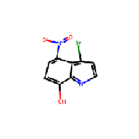 O=[N+]([O-])c1ccc(O)c2nccc(Br)c12